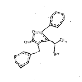 CC(C)C(C)c1c(-c2ccccc2)oc(=O)n1Cc1ccccc1